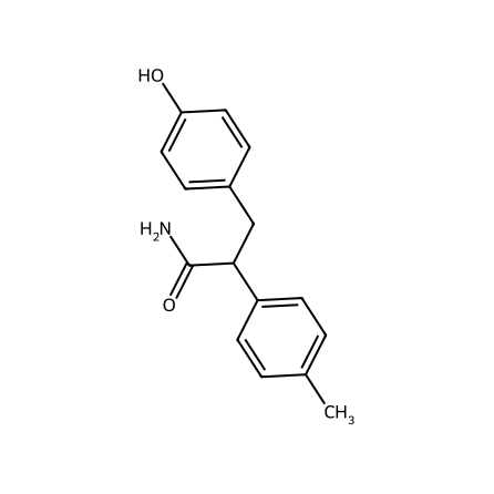 Cc1ccc(C(Cc2ccc(O)cc2)C(N)=O)cc1